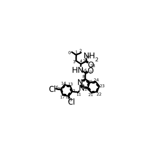 CC(C)CC(NC(=O)c1nn(Cc2ccc(Cl)cc2Cl)c2ccccc12)C(N)=O